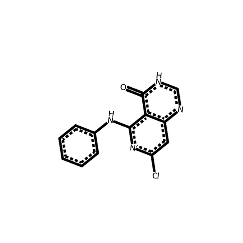 O=c1[nH]cnc2cc(Cl)nc(Nc3ccccc3)c12